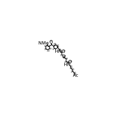 CNC1=C(C(=O)c2ccc(CNC(=O)COCCCC(=O)NCCCCCC(C)=O)cc2)CCCC1